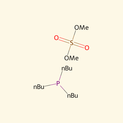 CCCCP(CCCC)CCCC.COS(=O)(=O)OC